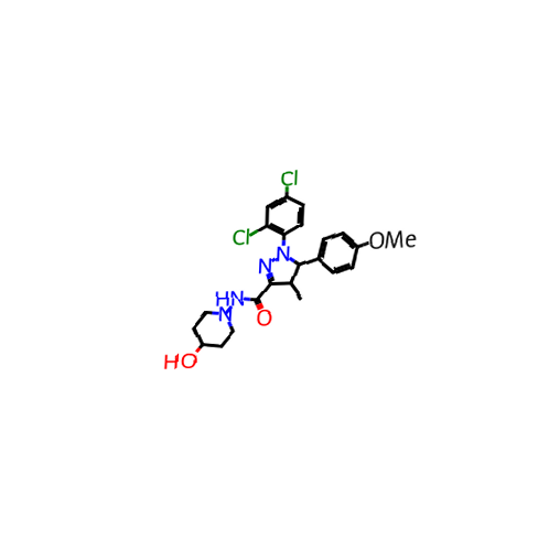 COc1ccc(C2C(C)C(C(=O)NN3CCC(O)CC3)=NN2c2ccc(Cl)cc2Cl)cc1